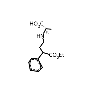 CCOC(=O)C(CCN[C@@H](C)C(=O)O)c1ccccc1